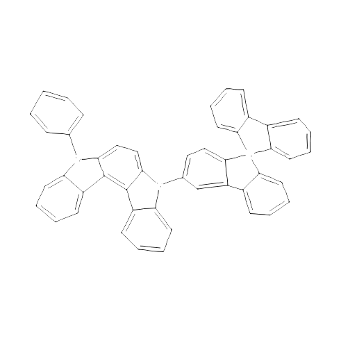 c1ccc(-n2c3ccccc3c3c4c5ccccc5n(-c5ccc6c(c5)-c5ccccc5[Si]65c6ccccc6-c6ccccc65)c4ccc32)cc1